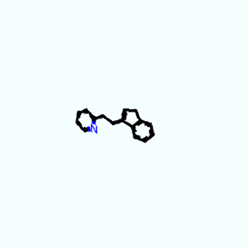 C1=C(CCc2ccccn2)c2ccccc2C1